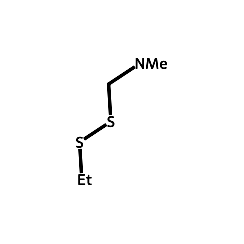 CCSSCNC